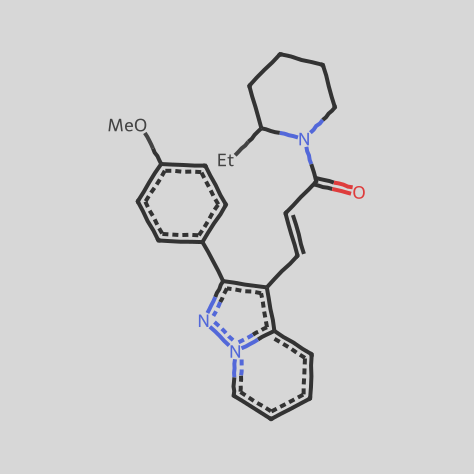 CCC1CCCCN1C(=O)C=Cc1c(-c2ccc(OC)cc2)nn2ccccc12